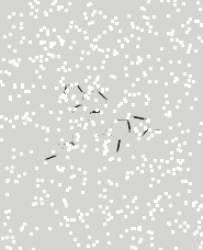 O=CNC(=O)N[C@@H](CN1Cc2ccc(F)cc2C1=O)c1cccc2cccnc12